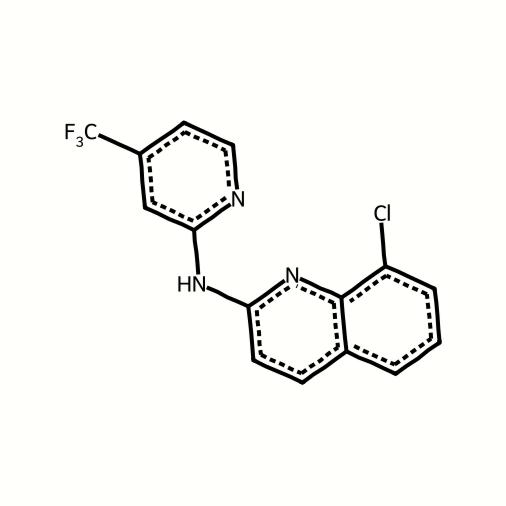 FC(F)(F)c1ccnc(Nc2ccc3cccc(Cl)c3n2)c1